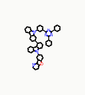 c1ccc(-c2nc(-c3ccccc3)nc(-c3cccc(-n4c5ccccc5c5ccc(-c6cccc7c6c6ccccc6n7-c6ccc7oc8cccnc8c7c6)cc54)c3)n2)cc1